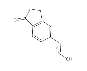 C/C=C/c1ccc2c(c1)CCC2=O